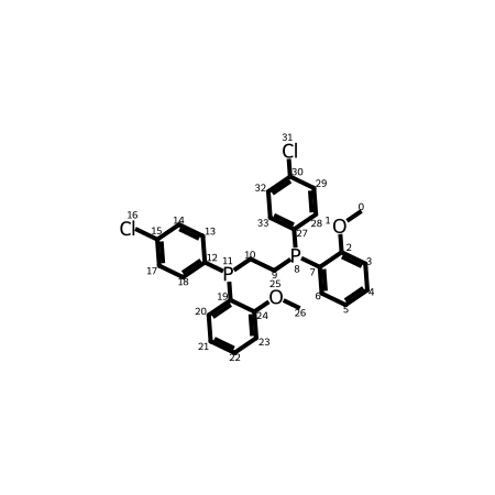 COc1ccccc1P(CCP(c1ccc(Cl)cc1)c1ccccc1OC)c1ccc(Cl)cc1